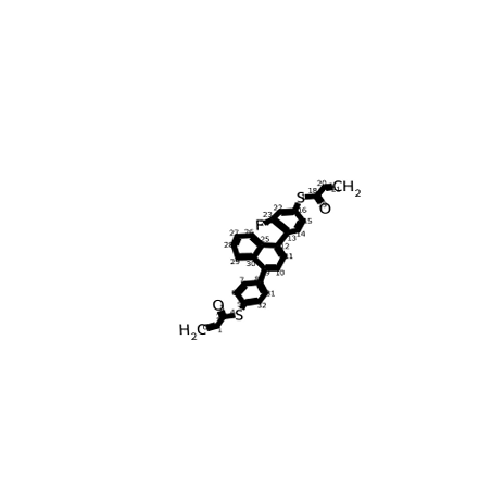 C=CC(=O)Sc1ccc(-c2ccc(-c3ccc(SC(=O)C=C)cc3F)c3ccccc23)cc1